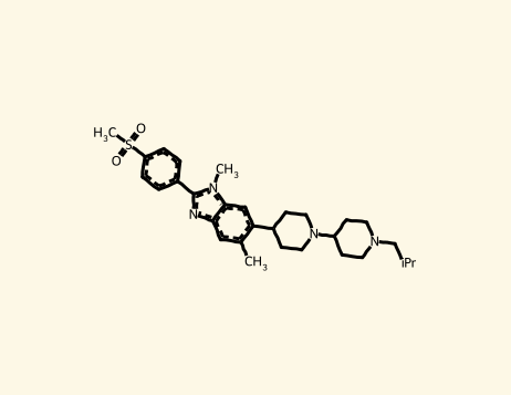 Cc1cc2nc(-c3ccc(S(C)(=O)=O)cc3)n(C)c2cc1C1CCN(C2CCN(CC(C)C)CC2)CC1